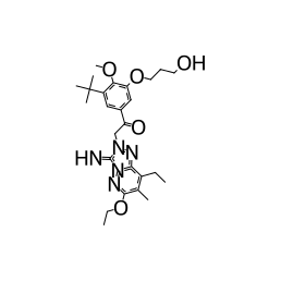 CCOc1nn2c(=N)n(CC(=O)c3cc(OCCCO)c(OC)c(C(C)(C)C)c3)nc2c(CC)c1C